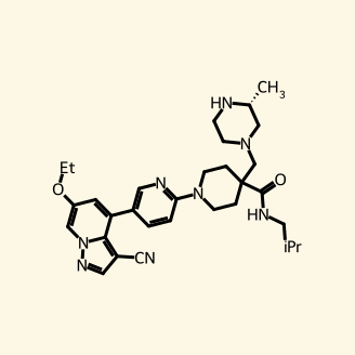 CCOc1cc(-c2ccc(N3CCC(CN4CCN[C@H](C)C4)(C(=O)NCC(C)C)CC3)nc2)c2c(C#N)cnn2c1